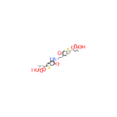 COc1cc2sc(C(=O)C[C@H](C)C(=O)O)cc2cc1CCCNc1cc2cc(C(=O)C[C@H](C)C(=O)O)sc2cc1OC